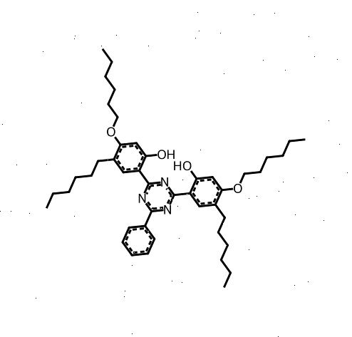 CCCCCCOc1cc(O)c(-c2nc(-c3ccccc3)nc(-c3cc(CCCCCC)c(OCCCCCC)cc3O)n2)cc1CCCCCC